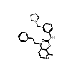 O=C(Nc1cccc(CN2CCCC2)c1)Oc1c(NCCc2ccccc2)cc[nH]c1=O